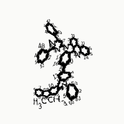 CC1(C)c2ccccc2-c2cc3c4cc(-c5ccc6c(c5)-c5nc7ccccc7c7cccc(c57)N6c5cc(-c6ccccc6)nc(-c6ccccc6)n5)ccc4n(-c4ccccc4)c3cc21